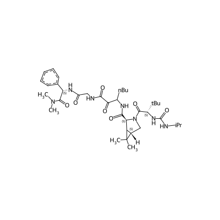 CCCCC(NC(=O)[C@@H]1C2[C@H](CN1C(=O)[C@@H](NC(=O)NC(C)C)C(C)(C)C)C2(C)C)C(=O)C(=O)NCC(=O)N[C@H](C(=O)N(C)C)c1ccccc1